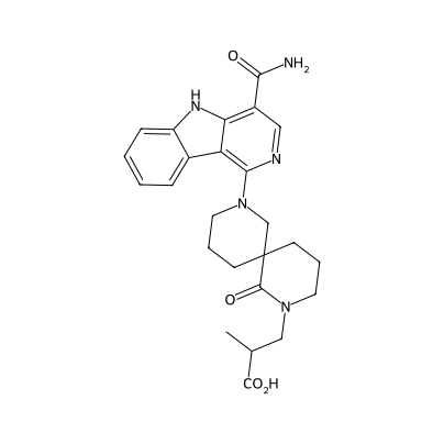 CC(CN1CCCC2(CCCN(c3ncc(C(N)=O)c4[nH]c5ccccc5c34)C2)C1=O)C(=O)O